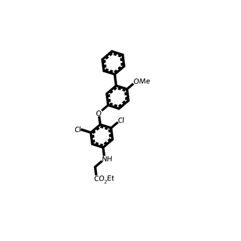 CCOC(=O)CNc1cc(Cl)c(Oc2ccc(OC)c(-c3ccccc3)c2)c(Cl)c1